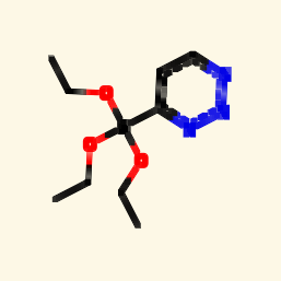 CCO[Si](OCC)(OCC)c1ccnnn1